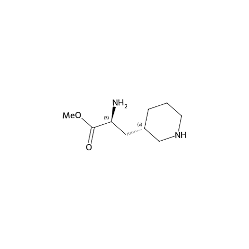 COC(=O)[C@@H](N)C[C@@H]1CCCNC1